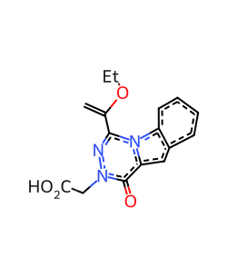 C=C(OCC)c1nn(CC(=O)O)c(=O)c2cc3ccccc3n12